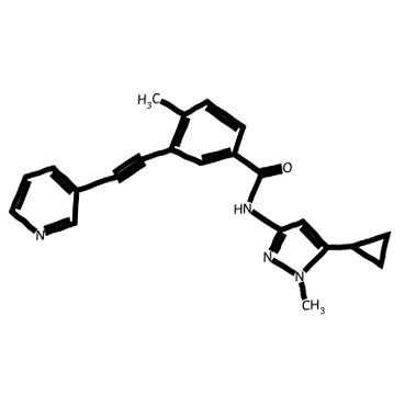 Cc1ccc(C(=O)Nc2cc(C3CC3)n(C)n2)cc1C#Cc1cccnc1